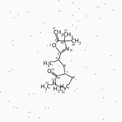 C=C1OC(C(C)CC(CC)C(=O)N(C)C)=NC1(C)C